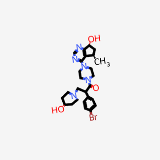 C[C@@H]1C[C@@H](O)c2ncnc(N3CCN(C(=O)C(CN4CCC(O)CC4)c4ccc(Br)cc4)CC3)c21